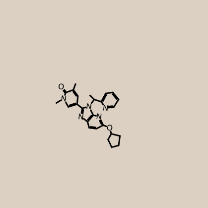 Cc1cc(-c2nc3ccc(OC4CCCC4)nc3n2C(C)c2ccccn2)cn(C)c1=O